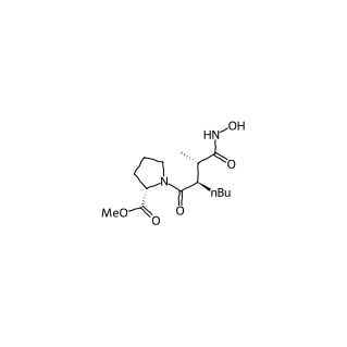 CCCC[C@@H](C(=O)N1CCC[C@H]1C(=O)OC)[C@H](C)C(=O)NO